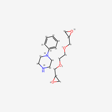 C(COCC1CO1)OCC1CO1.c1ccc(N2CCNCC2)cc1